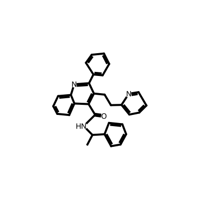 CC(NC(=O)c1c(CCc2ccccn2)c(-c2ccccc2)nc2ccccc12)c1ccccc1